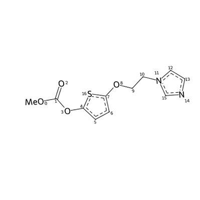 COC(=O)Oc1ccc(OCCn2ccnc2)s1